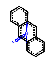 [N-]=[N+]1c2cccc3cc4c1cccc4cc23